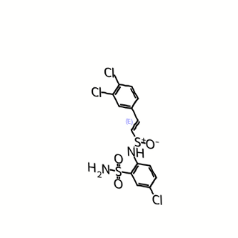 NS(=O)(=O)c1cc(Cl)ccc1N[S+]([O-])/C=C/c1ccc(Cl)c(Cl)c1